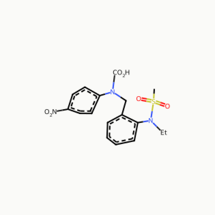 CCN(c1ccccc1CN(C(=O)O)c1ccc([N+](=O)[O-])cc1)S(C)(=O)=O